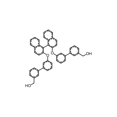 OCc1cccc(-c2cccc(Oc3ccc4ccccc4c3-c3c(Oc4cccc(-c5cccc(CO)c5)c4)ccc4ccccc34)c2)c1